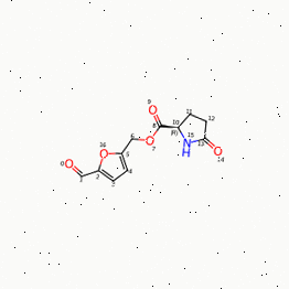 O=Cc1ccc(COC(=O)[C@H]2CCC(=O)N2)o1